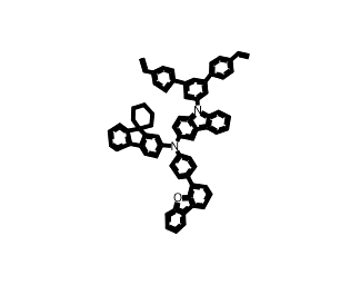 C=Cc1ccc(-c2cc(-c3ccc(C=C)cc3)cc(-n3c4ccccc4c4cc(N(c5ccc(-c6cccc7c6oc6ccccc67)cc5)c5ccc6c(c5)C5(CCCCC5)c5ccccc5-6)ccc43)c2)cc1